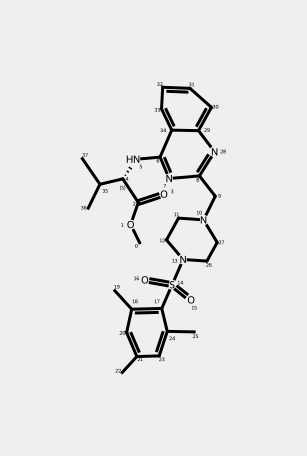 COC(=O)[C@@H](Nc1nc(CN2CCN(S(=O)(=O)c3c(C)cc(C)cc3C)CC2)nc2ccccc12)C(C)C